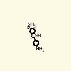 NOc1ccc2c(c1)SC(c1ccc(N)cc1)N2